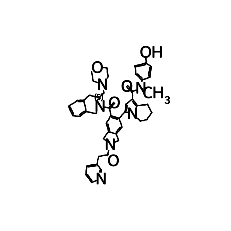 CN(C(=O)c1cc(-c2cc3c(cc2C(=O)N2Cc4ccccc4C[C@H]2CN2CCOCC2)CN(C(=O)Cc2cccnc2)C3)n2c1CCCC2)c1ccc(O)cc1